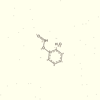 O.O=[SH]Oc1ccccc1